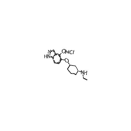 CCN[C@H]1CCC[C@@H](Oc2ccc3[nH]ncc3c2OC)C1.Cl